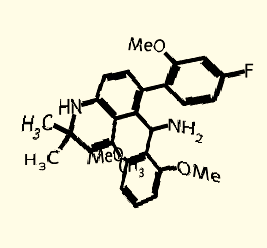 COc1cc(F)ccc1-c1ccc2c(c1C(N)c1c(OC)cccc1OC)C(C)=CC(C)(C)N2